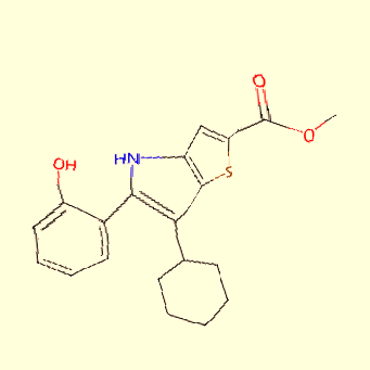 COC(=O)c1cc2[nH]c(-c3ccccc3O)c(C3CCCCC3)c2s1